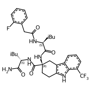 CCC(C)[C@H](NC(=O)[C@@]1(NC(=O)[C@@H](NC(=O)Cc2ccccc2F)C(C)CC)CCc2[nH]c3c(C(F)(F)F)cccc3c2C1)C(N)=O